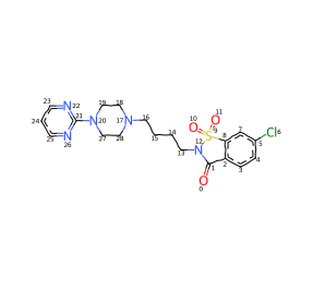 O=C1c2ccc(Cl)cc2S(=O)(=O)N1CCCCN1CCN(c2ncccn2)CC1